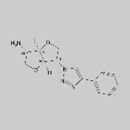 N[C@H]1CO[C@H]2[C@@H]1OC[C@@H]2n1cc(-c2ccccc2)nn1